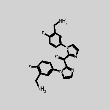 NCc1cc(-n2ccnc2C(=O)c2nccn2-c2ccc(F)c(CN)c2)ccc1F